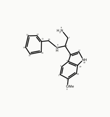 COc1ccc2c(C(CN)NCc3ccccc3)c[nH]c2c1